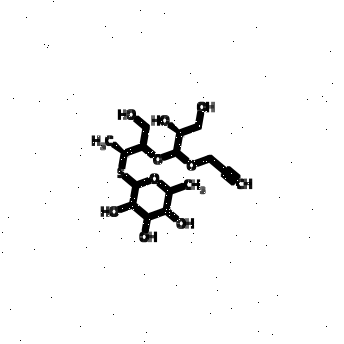 C#CCOC(OC(CO)[C@H](C)SC1OC(C)C(O)C(O)C1O)[C@@H](O)CO